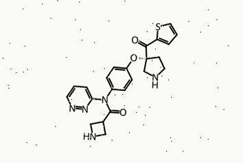 O=C(C1CNC1)N(c1ccc(O[C@]2(C(=O)c3cccs3)CCNC2)cc1)c1cccnn1